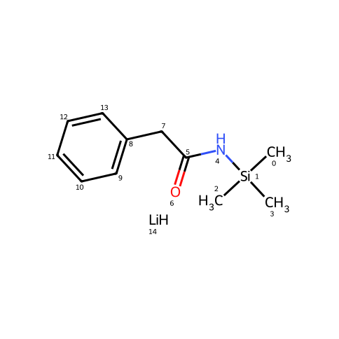 C[Si](C)(C)NC(=O)Cc1ccccc1.[LiH]